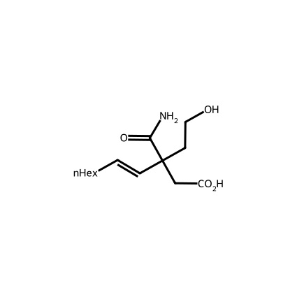 CCCCCCC=CC(CCO)(CC(=O)O)C(N)=O